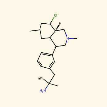 CCCC(C)(N)Cc1cccc(C2CN(C)C[C@H]3C(Cl)CC(C)CC23)c1